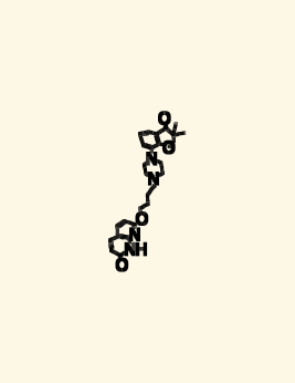 CC1(C)COc2c(cccc2N2CCN(CCCCOc3ccc4ccc(=O)[nH]c4n3)CC2)C1=O